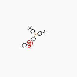 Cc1ccc(S(=O)(=O)Oc2ccc([S+](c3ccc(C(C)(C)C)cc3)c3ccc(C(C)(C)C)cc3)cc2)cc1